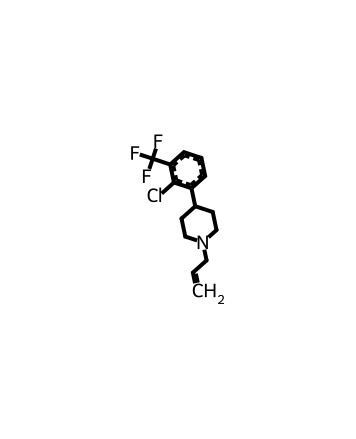 C=CCN1CCC(c2cccc(C(F)(F)F)c2Cl)CC1